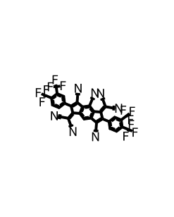 N#CC(C#N)=C1C(c2ccc(C(F)(F)F)c(C(F)(F)F)c2)=C(C#N)c2c1cc1c(c2C#N)C(=C(C#N)C#N)C(c2ccc(C(F)(F)F)c(C(F)(F)F)c2)=C1C#N